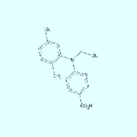 Cc1ccc(C(C)(C)C)cc1N(CC(C)(C)C)c1ccc(C(=O)O)cn1